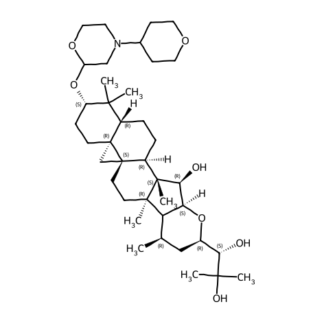 C[C@@H]1C[C@H]([C@H](O)C(C)(C)O)O[C@H]2C1[C@@]1(C)CC[C@@]34C[C@@]35CC[C@H](OC3CN(C6CCOCC6)CCO3)C(C)(C)[C@@H]5CC[C@H]4[C@]1(C)[C@H]2O